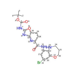 CC(C)(C)OC(=O)Nc1nc2nc(C(=O)Nc3cc(Br)cc4c3NCCCO4)ccc2o1